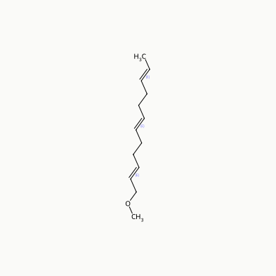 C/C=C/CC/C=C/CC/C=C/COC